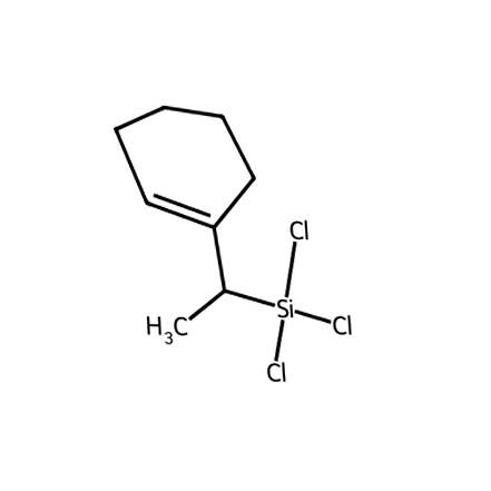 CC(C1=CCCCC1)[Si](Cl)(Cl)Cl